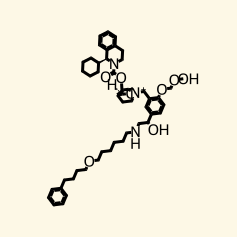 O=C(O[C@H]1C[N+]2(Cc3cc(C(O)CNCCCCCCOCCCCc4ccccc4)ccc3OCOO)CCC1CC2)N1CCc2ccccc2[C@@H]1C1CCCCC1